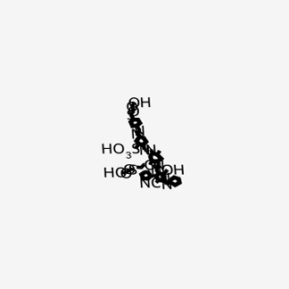 Cc1cc(N=Nc2c(-c3ccccc3)c(C#N)c3nc4ccccc4n3c2O)c(OCCCSOOO)cc1N=Nc1ccc(N=Nc2ccc(SOOO)cc2)cc1S(=O)(=O)O